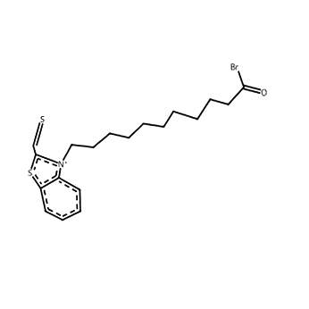 O=C(Br)CCCCCCCCCC[n+]1c(C=S)sc2ccccc21